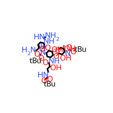 CN(C(=O)OC(C)(C)C)[C@@H]1[C@@H](O)[C@@H](O[C@@H]2[C@@H](O)[C@H](O[C@H]3OC(CN)=CC[C@H]3NC(=N)N)[C@@H](NC(=O)OC(C)(C)C)C[C@H]2NC(=O)[C@@H](O)CCNC(=O)OC(C)(C)C)OC[C@]1(C)O